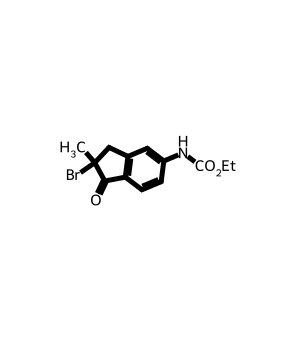 CCOC(=O)Nc1ccc2c(c1)CC(C)(Br)C2=O